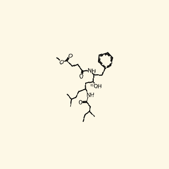 CCC(C)CC(=O)NC(CCC(C)C)C[C@H](O)C(Cc1ccccc1)NC(=O)CCC(=O)OC